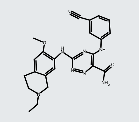 CCN1CCc2cc(OC)c(Nc3nnc(C(N)=O)c(Nc4cccc(C#N)c4)n3)cc2C1